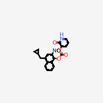 O=C(Oc1ccc[nH]c1=O)Oc1c([N+](=O)[O-])cc(CC2CC2)c2ccccc12